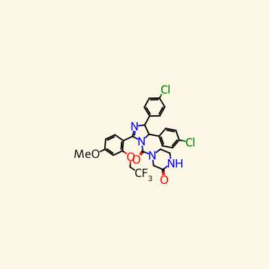 COc1ccc(C2=NC(c3ccc(Cl)cc3)C(c3ccc(Cl)cc3)N2C(=O)N2CCNC(=O)C2)c(OCC(F)(F)F)c1